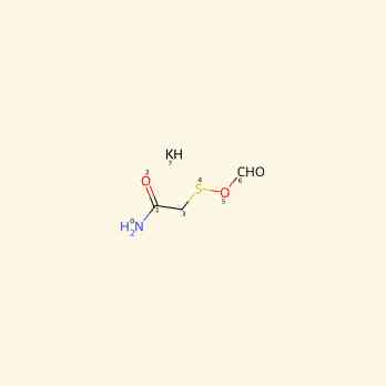 NC(=O)CSOC=O.[KH]